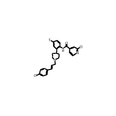 O=C(Nc1ccc(F)cc1C1CCN(CC=Cc2ccc(Cl)cc2)CC1)c1ccnc(Cl)c1